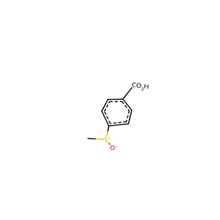 C[S+]([O-])c1ccc(C(=O)O)cc1